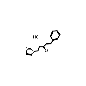 Cl.O=C(C=Cc1ccccc1)CCn1ccnc1